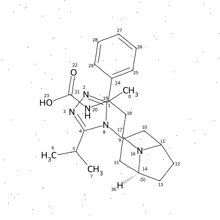 Cc1nnc(C(C)C)n1C1CC2CC[C@@H](C1)N2CCC(NC(=O)O)c1ccccc1